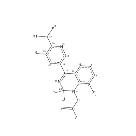 C=C(C)CN1c2c(F)cccc2C(c2cnc(C(F)F)c(C)c2)=NC1(C)C